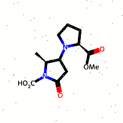 COC(=O)[C@@H]1CCCN1C1CC(=O)N(C(=O)O)[C@H]1C